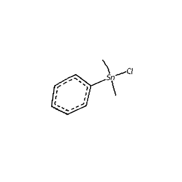 [CH3][Sn]([CH3])([Cl])[c]1ccccc1